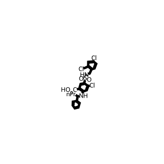 CCCC(Nc1cc(Cl)c(S(=O)(=O)NCc2ccc(Cl)cc2Cl)cc1C(=O)O)c1ccccc1